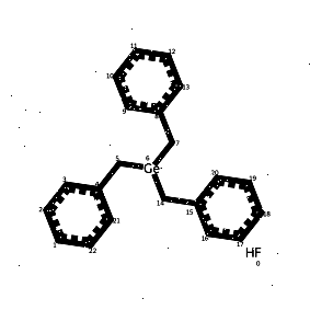 F.c1ccc([CH2][Ge]([CH2]c2ccccc2)[CH2]c2ccccc2)cc1